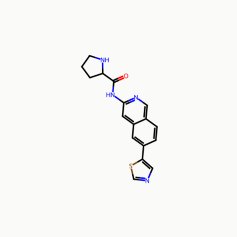 O=C(Nc1cc2cc(-c3cncs3)ccc2cn1)C1CCCN1